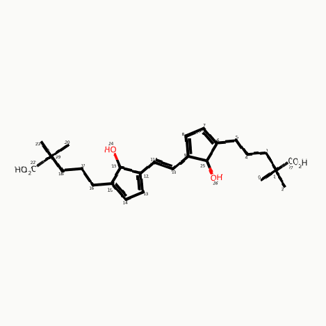 CC(C)(CCCC1=CC=C(C=CC2=CC=C(CCCC(C)(C)C(=O)O)C2O)C1O)C(=O)O